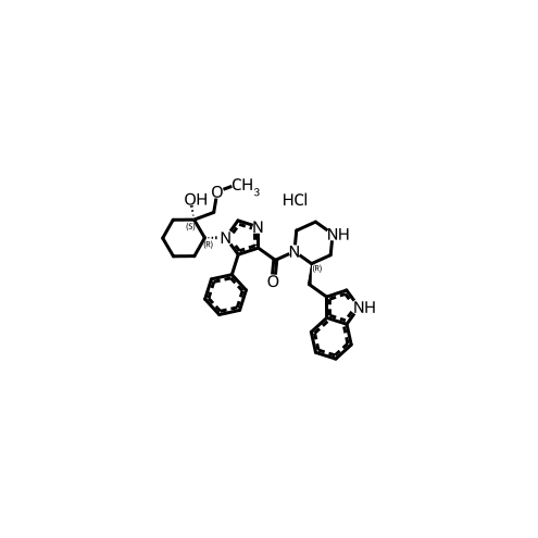 COC[C@]1(O)CCCC[C@H]1n1cnc(C(=O)N2CCNC[C@H]2Cc2c[nH]c3ccccc23)c1-c1ccccc1.Cl